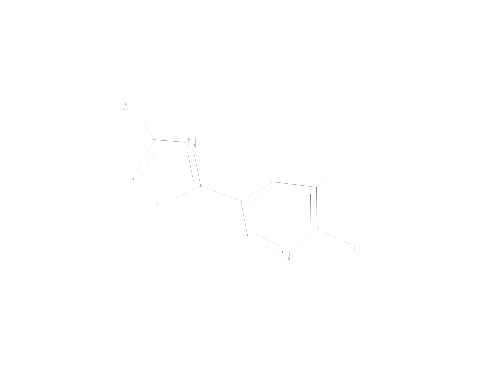 CC(=O)c1coc(-c2cnc(Cl)c(Cl)c2)n1